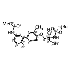 COC(=O)Nc1cc(-c2ccc(OC[C@](C)(CC(C)C)NC(=O)OC(C)(C)C)c(C)n2)c(F)cn1